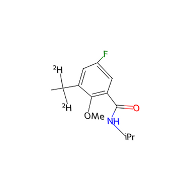 [2H]C([2H])(C)c1cc(F)cc(C(=O)NC(C)C)c1OC